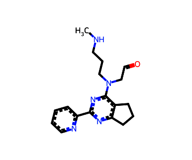 CNCCCN(CC=O)c1nc(-c2ccccn2)nc2c1CCC2